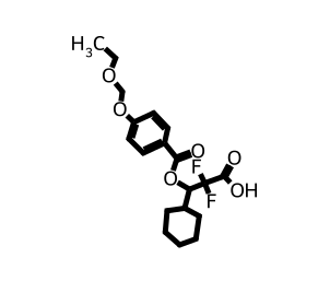 CCOCOc1ccc(C(=O)OC(C2CCCCC2)C(F)(F)C(=O)O)cc1